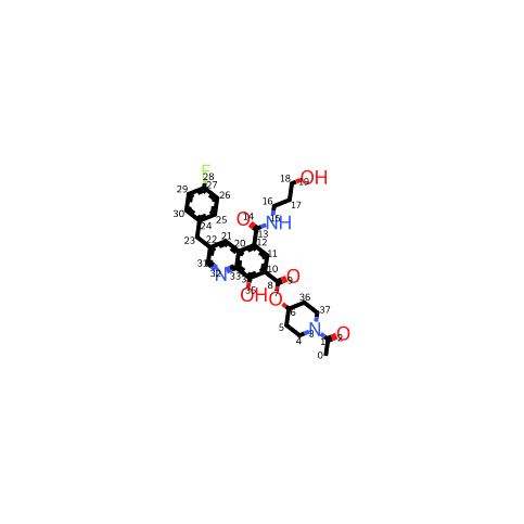 CC(=O)N1CCC(OC(=O)c2cc(C(=O)NCCCO)c3cc(Cc4ccc(F)cc4)cnc3c2O)CC1